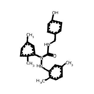 Cc1ccc(C)c(NN(C(=O)NCc2ccc(O)cc2)c2cc(C)ccc2C)c1